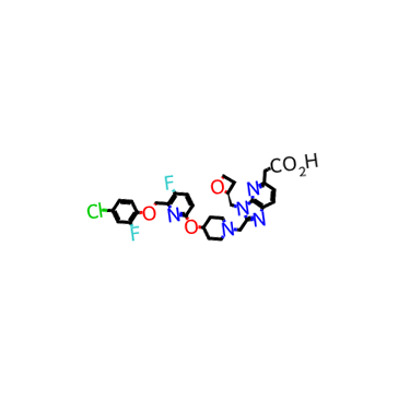 O=C(O)Cc1ccc2nc(CN3CCC(Oc4ccc(F)c(COc5ccc(Cl)cc5F)n4)CC3)n(C[C@@H]3CCO3)c2n1